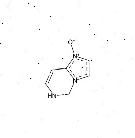 [O-][n+]1ccn2c1C=CNC2